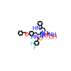 O=C(C[C@@H](Cc1c[nH]c2ccccc12)n1cc(C(Cc2ccc(OCc3ccccc3)cc2)NC(=O)c2ccc(F)c(F)c2)nn1)NO